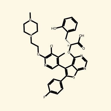 Cc1c(-c2c(-c3ccc(F)cc3)sc3ncnc(O[C@H](Cc4ccccc4O)C(=O)O)c23)cnc(OCCN2CCN(C)CC2)c1Cl